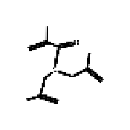 C=C(C)CN(CC(=C)C)C(=O)C(=C)C